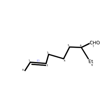 C/C=C/CCCC(C=O)CC